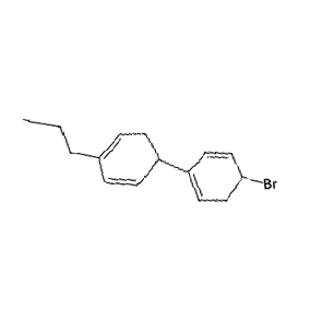 CCCC1=CCC(C2=CCC(Br)C=C2)C=C1